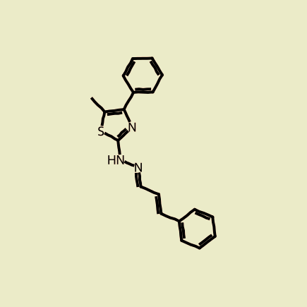 Cc1sc(N/N=C/C=C/c2ccccc2)nc1-c1ccccc1